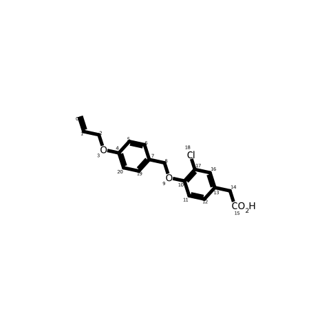 C=CCOc1ccc(COc2ccc(CC(=O)O)cc2Cl)cc1